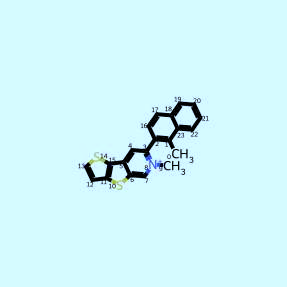 Cc1c(-c2cc3c(c[n+]2C)sc2ccsc23)ccc2ccccc12